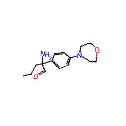 CCCC(N)(C=O)c1ccc(N2CCOCC2)cc1